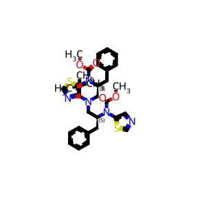 COC(=O)N(c1cncs1)[C@@H](Cc1ccccc1)CN(C[C@H](Cc1ccccc1)N(C(=O)OC)c1cncs1)CC(C)(C)C